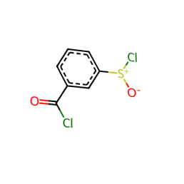 O=C(Cl)c1cccc([S+]([O-])Cl)c1